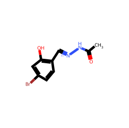 CC(=O)N/N=C/c1ccc(Br)cc1O